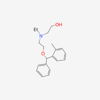 CCN(CCO)CCOC(c1ccccc1)c1ccccc1C